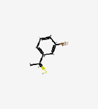 CC(=S)c1cccc(Br)c1